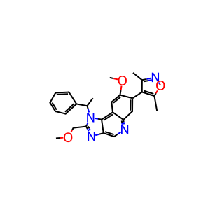 COCc1nc2cnc3cc(-c4c(C)noc4C)c(OC)cc3c2n1C(C)c1ccccc1